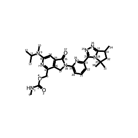 CNC(=O)OCc1nc(N(C)C(C)C)cc2c1CN(c1cccc(-c3nnc4n3C(C)(C)CC4C)n1)C2=O